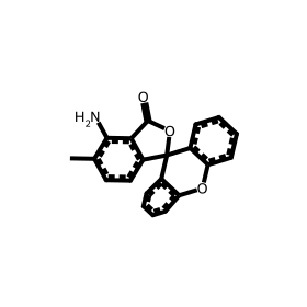 Cc1ccc2c(c1N)C(=O)OC21c2ccccc2Oc2ccccc21